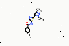 Cc1ccc(C(=O)Nc2cnc(-c3cc(C(F)(F)F)nn3C)s2)cc1